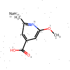 COc1cc(C(=O)O)cc(C)n1.[NaH]